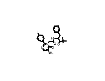 Nc1cnc(-c2ccc(F)cc2)n(CC(=O)NC(Cc2ccccc2)C(=O)C(F)(F)F)c1=O